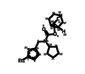 CCc1ccc(CN(C(=O)O[C@H]2CN3CCC2CC3)C2CCCC2)s1